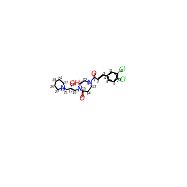 O=C(/C=C/c1ccc(Cl)c(Cl)c1)N1CCC(=O)N(C[C@@H](O)CN2CCCCC2)CC1